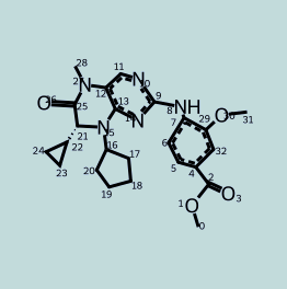 COC(=O)c1ccc(Nc2ncc3c(n2)N(C2CCCC2)[C@H](C2CC2)C(=O)N3C)c(OC)c1